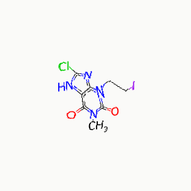 Cn1c(=O)c2[nH]c(Cl)nc2n(CCI)c1=O